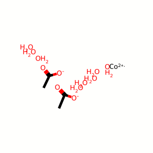 CC(=O)[O-].CC(=O)[O-].O.O.O.O.O.O.O.O.[Co+2]